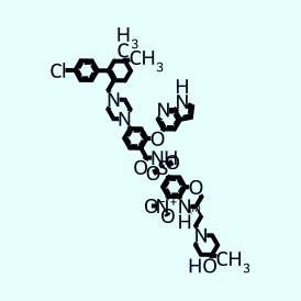 CC1(C)CCC(CN2CCN(c3ccc(C(=O)NS(=O)(=O)c4cc5c(c([N+](=O)[O-])c4)N[C@H](CCN4CCC(C)(O)CC4)CO5)c(Oc4cnc5[nH]ccc5c4)c3)CC2)=C(c2ccc(Cl)cc2)C1